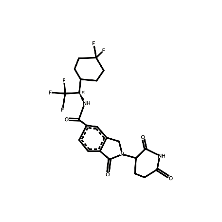 O=C1CCC(N2Cc3cc(C(=O)N[C@H](C4CCC(F)(F)CC4)C(F)(F)F)ccc3C2=O)C(=O)N1